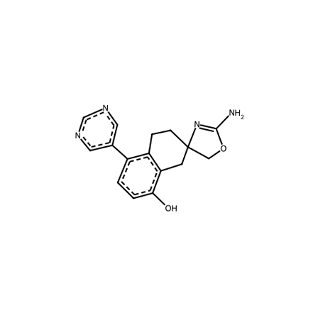 NC1=NC2(CCc3c(-c4cncnc4)ccc(O)c3C2)CO1